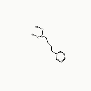 CC(C)(C)O[SiH](CCCCc1ccccc1)OC(C)(C)C